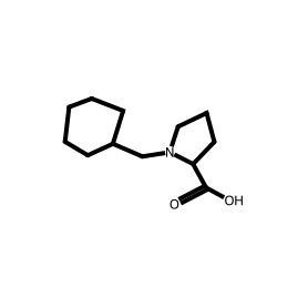 O=C(O)C1CCCN1CC1CCCCC1